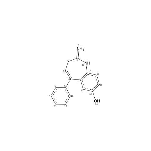 C=C1CC=C(c2ccccc2)c2cc(O)ccc2N1